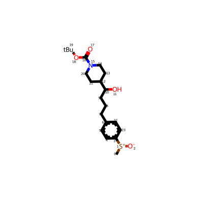 C[S+]([O-])c1ccc(CCCC(O)C2CCN(C(=O)OC(C)(C)C)CC2)cc1